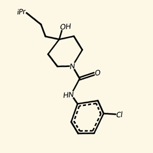 CC(C)CCC1(O)CCN(C(=O)Nc2cccc(Cl)c2)CC1